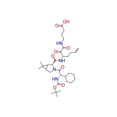 C=CCCC(NC(=O)[C@@H]1C2C(CN1C(=O)[C@@H](NC(=O)OC(C)(C)C)C1CCCCC1)C2(C)C)C(=O)C(=O)NCCCC(=O)O